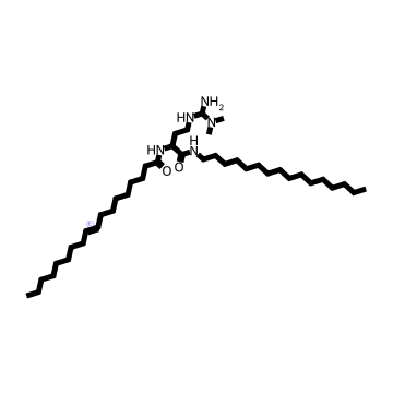 CCCCCCCC/C=C/CCCCCCCC(=O)NC(CCNC(N)N(C)C)C(=O)NCCCCCCCCCCCCCCCC